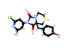 O=C1N(c2cc(Cl)nc(Cl)c2)C(=O)C2(Cc3ccc(Br)cc3)CSCCN12